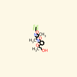 Cc1cc(C(C)N2CC3=C(C=C=CC=C3C(=O)C(C)CCO)C2=O)cnc1OCC(F)(F)C(F)F